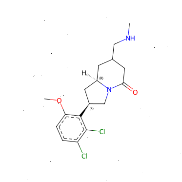 CNCC1CC(=O)N2C[C@@H](c3c(OC)ccc(Cl)c3Cl)C[C@H]2C1